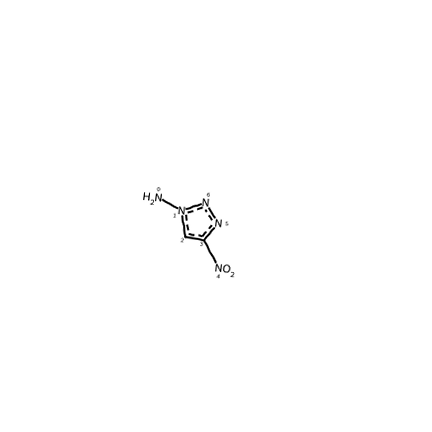 Nn1cc([N+](=O)[O-])nn1